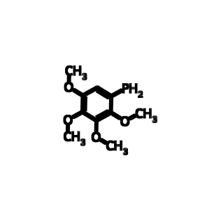 COc1cc(P)c(OC)c(OC)c1OC